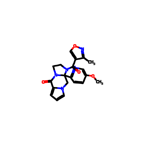 COc1ccc(C23Cn4cccc4C(=O)N2CCN3C(=O)c2conc2C)nc1